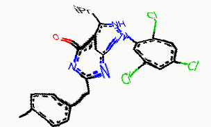 Cc1ccc(Cc2nc3n(-c4c(Cl)cc(Cl)cc4Cl)[nH]c(C(C)C)c-3c(=O)n2)cc1